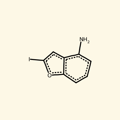 Nc1cccc2oc(I)cc12